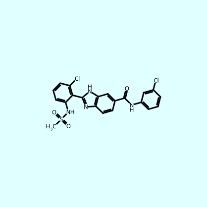 CS(=O)(=O)Nc1cccc(Cl)c1-c1nc2ccc(C(=O)Nc3cccc(Cl)c3)cc2[nH]1